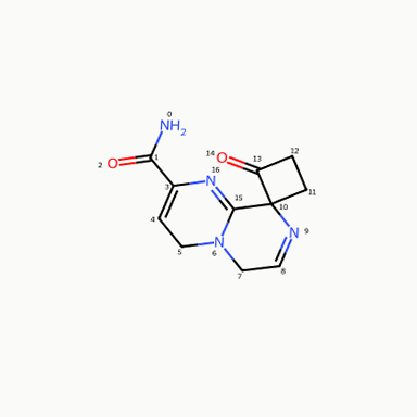 NC(=O)C1=CCN2CC=NC3(CCC3=O)C2=N1